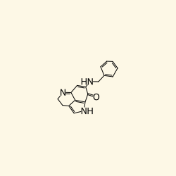 O=C1C(NCc2ccccc2)=CC2=NCCc3c[nH]c1c32